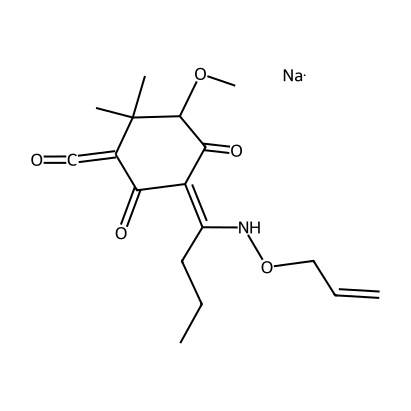 C=CCONC(CCC)=C1C(=O)C(=C=O)C(C)(C)C(OC)C1=O.[Na]